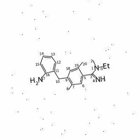 CCN(C)C(=N)c1cc(C)c(Cc2ccccc2N)cc1C